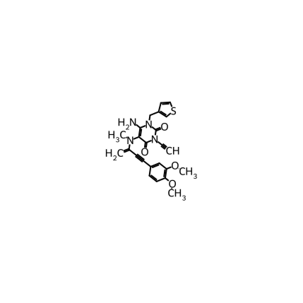 C#Cn1c(=O)c(N(C)C(=C)C#Cc2ccc(OC)c(OC)c2)c(N)n(Cc2ccsc2)c1=O